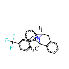 C[C@]12c3ccccc3C[C@H](c3ccccc31)N2Cc1cccc(C(F)(F)F)c1